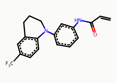 C=CC(=O)Nc1cccc(N2CCCc3cc(C(F)(F)F)ccc32)c1